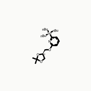 CCC[CH2][Sn]([CH2]CCC)([CH2]CCC)[c]1cccc(OC[C@H]2COC(C)(C)O2)n1